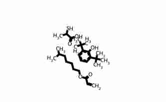 C=CC(=O)OCCCCCC(C)C.CC(C)(C)c1cccc(C(C)(C)C)c1O.CC(S)C(=O)O